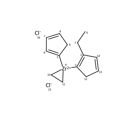 CCC1=[C]([Zr+2]2([C]3=CC=CC3)[CH2][CH2]2)CC=C1.[Cl-].[Cl-]